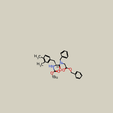 Cc1ccc(C[C@H](NC(=O)OC(C)(C)C)C(=O)N(CC(=O)OCc2ccccc2)Cc2ccccc2)cc1C